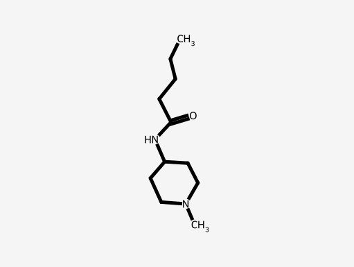 CCCCC(=O)NC1CCN(C)CC1